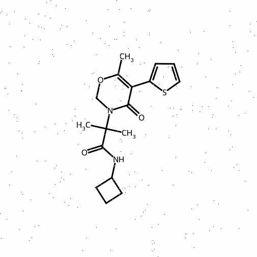 CC1=C(c2cccs2)C(=O)N(C(C)(C)C(=O)NC2CCC2)CO1